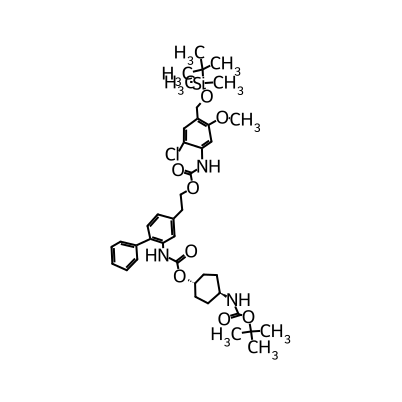 COc1cc(NC(=O)OCCc2ccc(-c3ccccc3)c(NC(=O)O[C@H]3CC[C@H](NC(=O)OC(C)(C)C)CC3)c2)c(Cl)cc1CO[Si](C)(C)C(C)(C)C